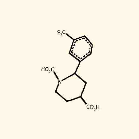 O=C(O)C1CCN(C(=O)O)C(c2cccc(C(F)(F)F)c2)C1